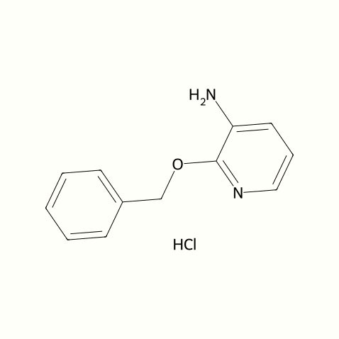 Cl.Nc1cccnc1OCc1ccccc1